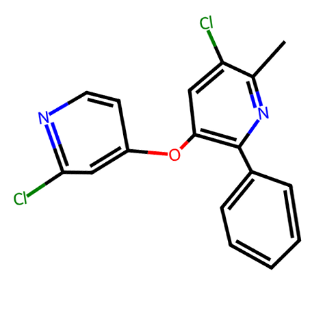 Cc1nc(-c2ccccc2)c(Oc2ccnc(Cl)c2)cc1Cl